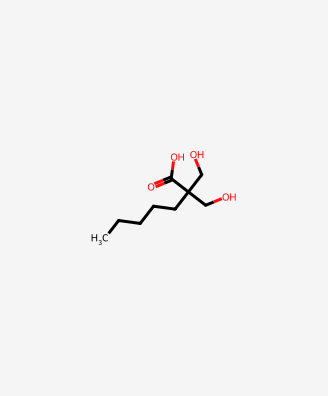 CCCCCC(CO)(CO)C(=O)O